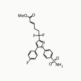 COC(=O)/C=C/CCC(F)(F)c1cc(-c2ccc(F)cc2)n(-c2ccc(S(N)(=O)=O)cc2)n1